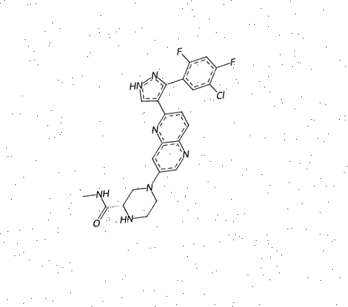 CNC(=O)[C@@H]1CN(c2cnc3ccc(-c4c[nH]nc4-c4cc(Cl)c(F)cc4F)nc3c2)CCN1